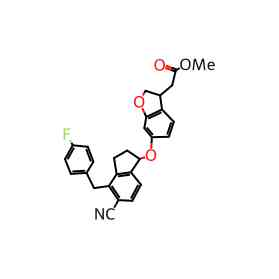 COC(=O)CC1COc2cc(O[C@@H]3CCc4c3ccc(C#N)c4Cc3ccc(F)cc3)ccc21